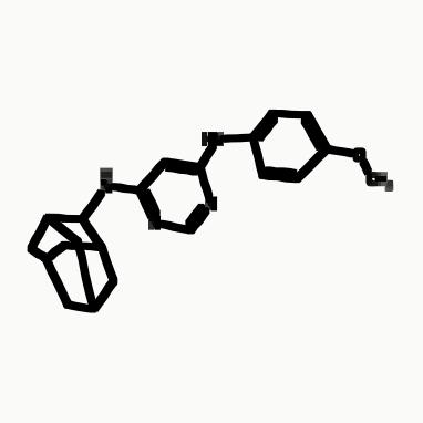 COc1ccc(Nc2cc(NC3C4CC5CC(C4)CC3C5)ncn2)cc1